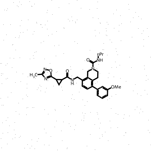 CCCNC(=O)N1CCc2c(-c3cccc(OC)c3)ccc(CNC(=O)C3CC3c3nc(C)no3)c2C1